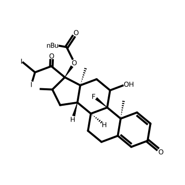 CCCCC(=O)O[C@]1(C(=O)C(I)I)C(C)C[C@H]2[C@@H]3CCC4=CC(=O)C=C[C@]4(C)[C@@]3(F)C(O)C[C@@]21C